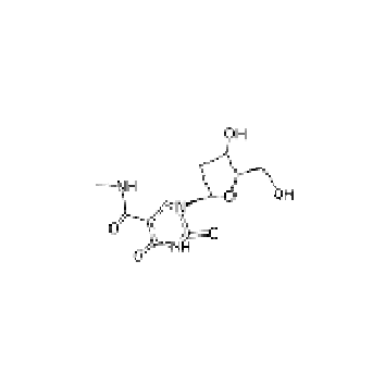 CNC(=O)c1cn([C@H]2CC(O)[C@@H](CO)O2)c(=O)[nH]c1=O